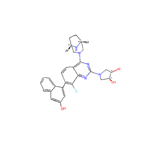 Oc1cc(-c2ccc3c(N4C[C@H]5CC[C@@H](C4)N5)nc(N4C[C@@H](O)[C@@H](O)C4)nc3c2F)c2ccccc2c1